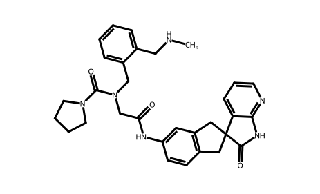 CNCc1ccccc1CN(CC(=O)Nc1ccc2c(c1)CC1(C2)C(=O)Nc2ncccc21)C(=O)N1CCCC1